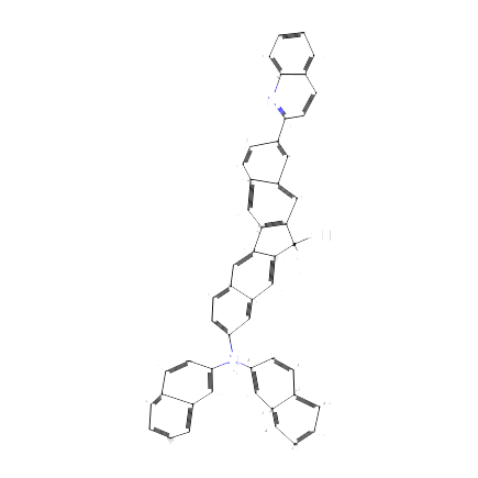 CC1(C)c2cc3cc(-c4ccc5ccccc5n4)ccc3cc2-c2cc3ccc(N(c4ccc5ccccc5c4)c4ccc5ccccc5c4)cc3cc21